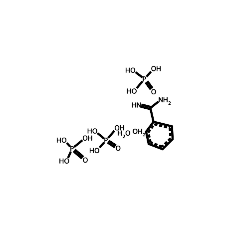 N=C(N)c1ccccc1.O.O.O=P(O)(O)O.O=P(O)(O)O.O=P(O)(O)O